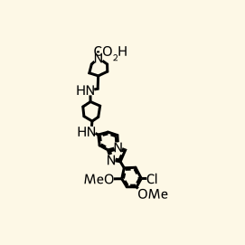 COc1cc(OC)c(-c2cn3ccc(NC4CCC(NCC5CCN(C(=O)O)CC5)CC4)cc3n2)cc1Cl